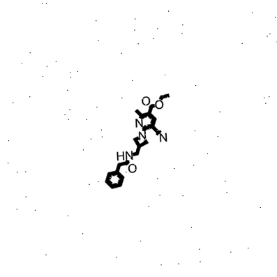 CCOC(=O)c1cc(C#N)c(N2CC(CNC(=O)Cc3ccccc3)C2)nc1C